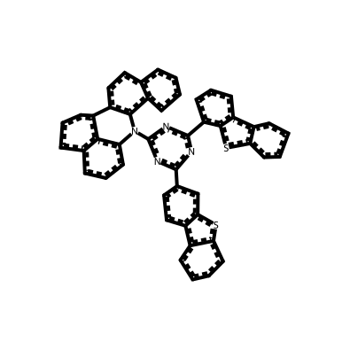 c1ccc2c3c(ccc2c1)-c1cccc2cccc(c12)N3c1nc(-c2ccc3c(c2)sc2ccccc23)nc(-c2cccc3c2sc2ccccc23)n1